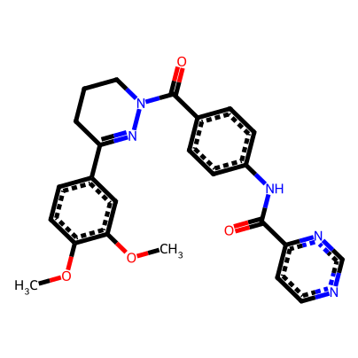 COc1ccc(C2=NN(C(=O)c3ccc(NC(=O)c4ccncn4)cc3)CCC2)cc1OC